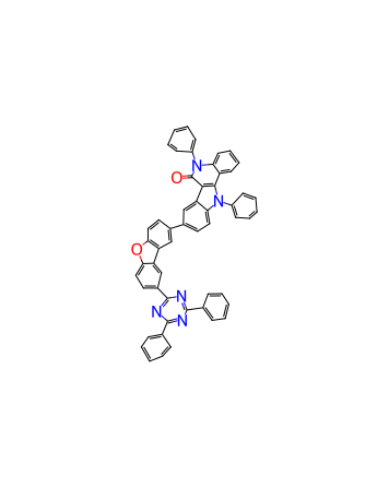 O=c1c2c3cc(-c4ccc5oc6ccc(-c7nc(-c8ccccc8)nc(-c8ccccc8)n7)cc6c5c4)ccc3n(-c3ccccc3)c2c2ccccc2n1-c1ccccc1